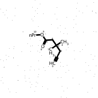 C#CCC(C)(C)CC(=O)OCCC